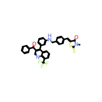 CN1C(=O)C(=Cc2ccc(CNc3cccc(-c4c(C(=O)c5ccccc5)cnc5c(C(F)(F)F)cccc45)c3)cc2)SC1=S